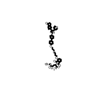 CC(C)(C)OC(=O)CCC(C(N)=O)N1C(=O)c2cccc(OCCCOCCCOc3ccc(-c4ccc(-n5cc(-c6ccc7c(c6)CCC7=O)c(-c6ccncc6)n5)cc4)cc3)c2C1=O